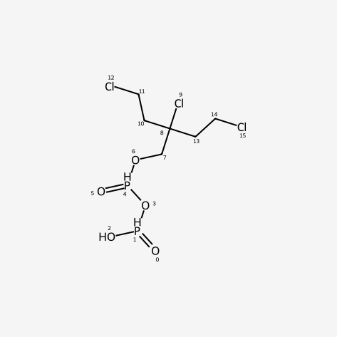 O=[PH](O)O[PH](=O)OCC(Cl)(CCCl)CCCl